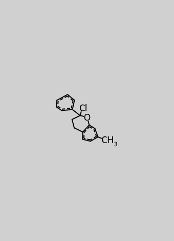 Cc1ccc2c(c1)OC(Cl)(c1ccccc1)CC2